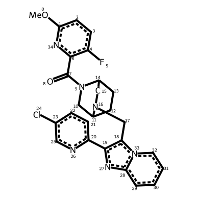 COc1ccc(F)c(C(=O)N2CC3CCC2CN3Cc2c(-c3ccc(Cl)cn3)nc3ccccn23)n1